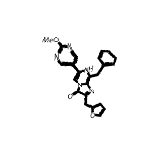 COc1ncc(-c2cn3c(=O)c(Cc4ccco4)nc-3c(Cc3ccccc3)[nH]2)cn1